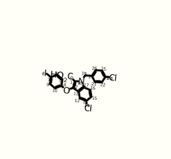 O=C(O)c1c(Oc2ccc(I)cc2)c2cc(Cl)ccc2n1Cc1ccc(Cl)cc1